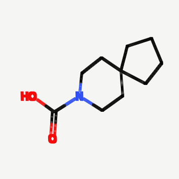 O=C(O)N1CCC2(CCCC2)CC1